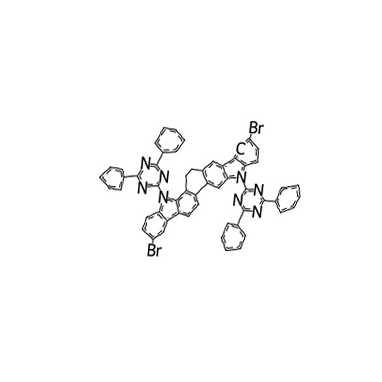 Brc1ccc2c(c1)c1cc3c(cc1n2-c1nc(-c2ccccc2)nc(-c2ccccc2)n1)-c1ccc2c4cc(Br)ccc4n(-c4nc(-c5ccccc5)nc(-c5ccccc5)n4)c2c1CC3